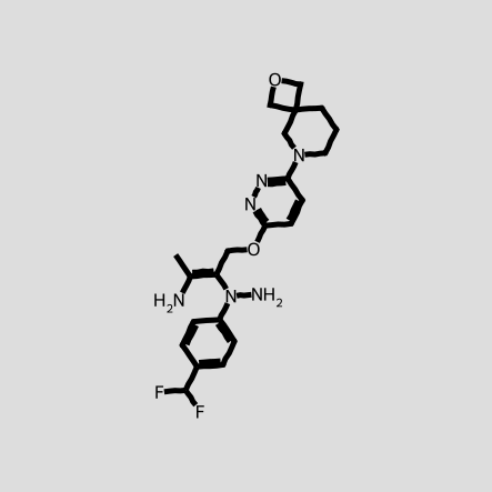 C/C(N)=C(\COc1ccc(N2CCCC3(COC3)C2)nn1)N(N)c1ccc(C(F)F)cc1